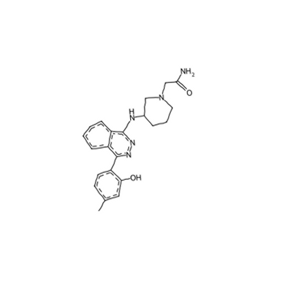 Cc1ccc(-c2nnc(NC3CCCN(CC(N)=O)C3)c3ccccc23)c(O)c1